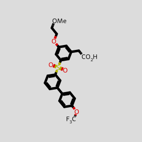 COCCOc1cc(CC(=O)O)cc(S(=O)(=O)c2cccc(-c3ccc(OC(F)(F)F)cc3)c2)c1